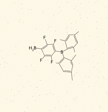 Bc1c(F)c(F)c(B(c2c(C)cc(C)cc2C)c2c(C)cc(C)cc2C)c(F)c1F